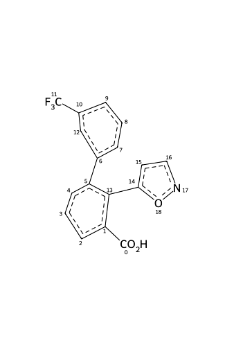 O=C(O)c1cccc(-c2cccc(C(F)(F)F)c2)c1-c1ccno1